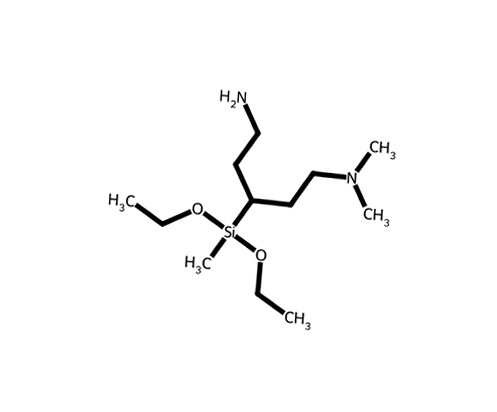 CCO[Si](C)(OCC)C(CCN)CCN(C)C